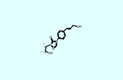 C[C@@H](O)[C@H](C)n1ncn(-c2ccc(C=CCO)cc2)c1=O